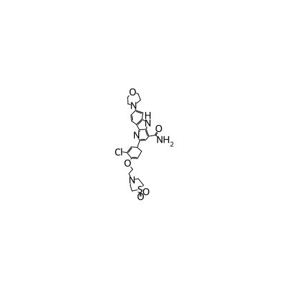 NC(=O)c1cc(C2C=C(Cl)C(OCCN3CCS(=O)(=O)CC3)=CC2)nc2c1[nH]c1cc(N3CCOCC3)ccc12